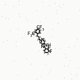 Fc1cccc(-c2nc3c([nH]2)C=NN(CCCc2ccc(C(F)(F)F)cc2C(F)(F)F)C3)c1F